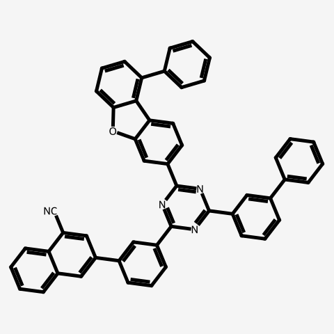 N#Cc1cc(-c2cccc(-c3nc(-c4cccc(-c5ccccc5)c4)nc(-c4ccc5c(c4)oc4cccc(-c6ccccc6)c45)n3)c2)cc2ccccc12